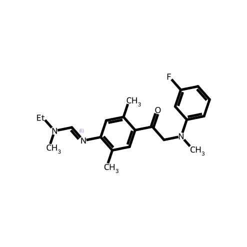 CCN(C)/C=N/c1cc(C)c(C(=O)CN(C)c2cccc(F)c2)cc1C